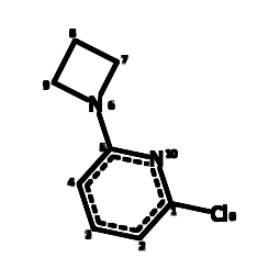 Clc1cccc(N2CCC2)n1